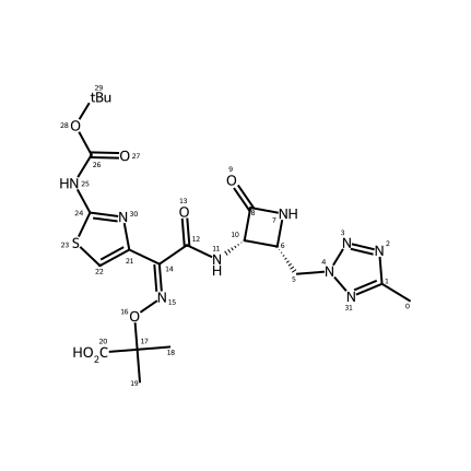 Cc1nnn(C[C@H]2NC(=O)[C@H]2NC(=O)C(=NOC(C)(C)C(=O)O)c2csc(NC(=O)OC(C)(C)C)n2)n1